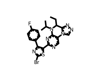 CCC1c2nncn2-c2cnc(-c3sc(Br)nc3-c3ccc(F)cc3)nc2N1C(C)C